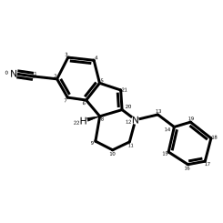 N#Cc1ccc2c(c1)[C@H]1CCCN(Cc3ccccc3)C1=C2